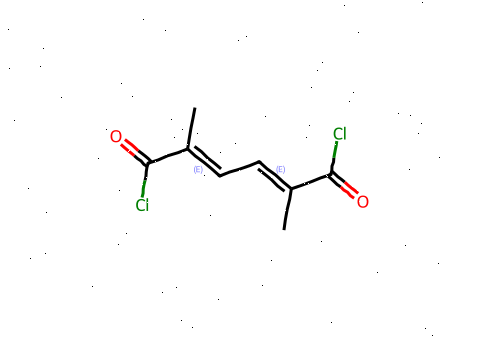 C/C(=C\C=C(/C)C(=O)Cl)C(=O)Cl